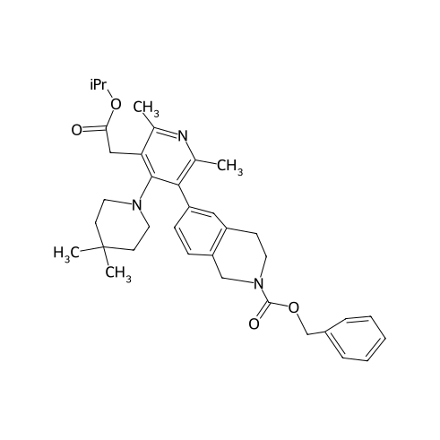 Cc1nc(C)c(-c2ccc3c(c2)CCN(C(=O)OCc2ccccc2)C3)c(N2CCC(C)(C)CC2)c1CC(=O)OC(C)C